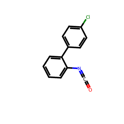 O=C=Nc1ccccc1-c1ccc(Cl)cc1